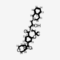 CC1(C)CN(C[C@H](O)CN2CCc3ccccc3C2)C(=O)c2ccc(C(=O)N3C4CCC3COC4)cc2O1